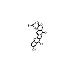 CCC(=O)O[C@H]1C(=O)OCc2c1cc1n(c2=O)Cc2c-1nc1ccc(O)cc1c2CC